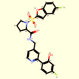 O=C(NCc1ccnc(-c2ccc(F)cc2O)c1)C1CCCN1S(=O)(=O)c1cc2cc(F)ccc2o1